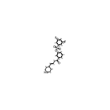 O=C(CC=CC1CCNCC1)c1cccc(OS(=O)(=O)c2cc(F)cc(F)c2)c1